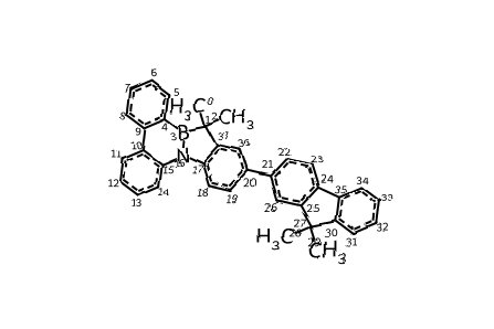 CC1(C)B2c3ccccc3-c3ccccc3N2c2ccc(-c3ccc4c(c3)C(C)(C)c3ccccc3-4)cc21